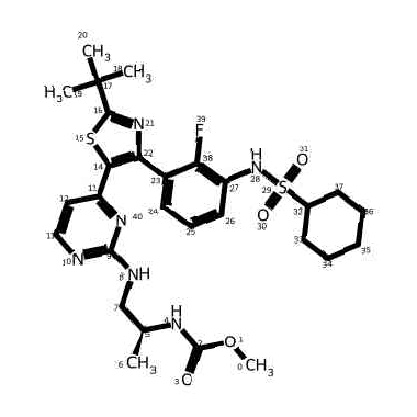 COC(=O)N[C@@H](C)CNc1nccc(-c2sc(C(C)(C)C)nc2-c2cccc(NS(=O)(=O)C3CCCCC3)c2F)n1